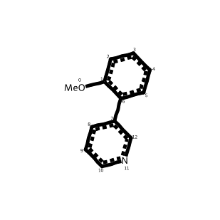 COc1ccccc1-c1c[c]cnc1